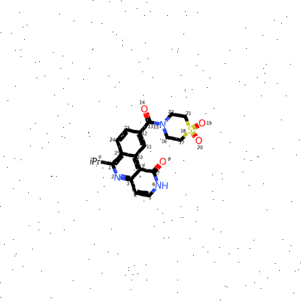 CC(C)c1nc2cc[nH]c(=O)c2c2cc(C(=O)N3CCS(=O)(=O)CC3)ccc12